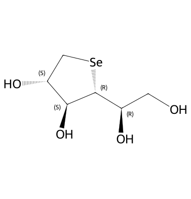 OC[C@@H](O)[C@H]1[Se]C[C@@H](O)[C@@H]1O